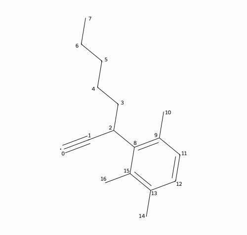 [C]#CC(CCCCC)c1c(C)ccc(C)c1C